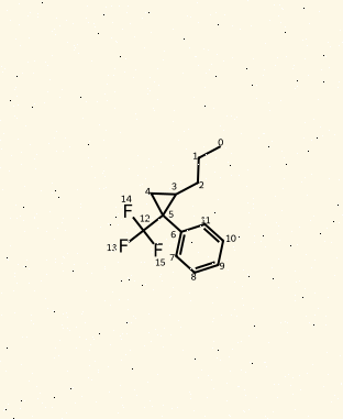 CCCC1CC1(c1ccccc1)C(F)(F)F